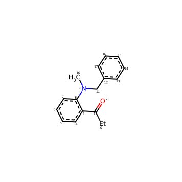 CCC(=O)c1ccccc1N(C)Cc1ccccc1